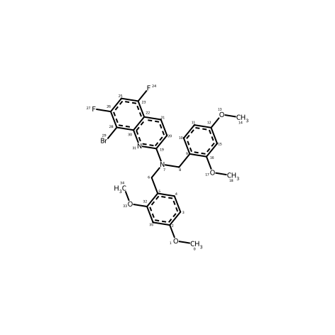 COc1ccc(CN(Cc2ccc(OC)cc2OC)c2ccc3c(F)cc(F)c(Br)c3n2)c(OC)c1